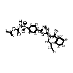 C=C(C)OC(=O)NS(=O)(=O)c1ccc(-c2nnc(N(CCCC)C(=O)c3ccccc3)s2)cc1